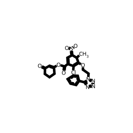 CC1C(OCCn2nnnc2-c2ccccc2)=C(Cl)C(C(=O)OC2=CC(=O)CCC2)=CC1=S(=O)=O